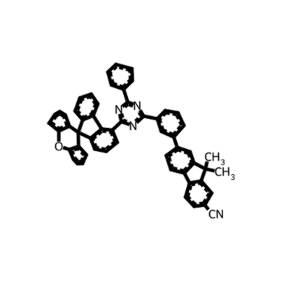 CC1(C)c2cc(C#N)ccc2-c2ccc(-c3cccc(-c4nc(-c5ccccc5)nc(-c5cccc6c5-c5ccccc5C65c6ccccc6Oc6ccccc65)n4)c3)cc21